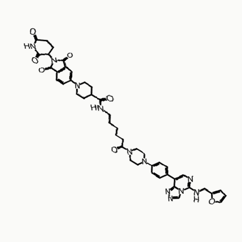 O=C1CCC(N2C(=O)c3ccc(N4CCC(C(=O)NCCCCCC(=O)N5CCN(c6ccc(-c7cnc(NCc8ccco8)n8cnnc78)cc6)CC5)CC4)cc3C2=O)C(=O)N1